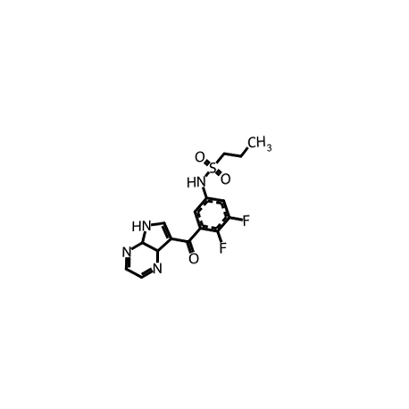 CCCS(=O)(=O)Nc1cc(F)c(F)c(C(=O)C2=CNC3N=CC=NC23)c1